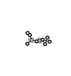 c1ccc(-c2nc(-c3ccc4c(c3)Oc3ccc5c(c3O4)-c3ccccc3C5(c3ccccc3)c3ccccc3)nc(-c3ccc4ccccc4c3)n2)cc1